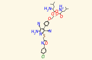 CC(C)C[C@H](N)C(=O)OC[C@H](COc1ccc(-c2c(C#N)c(N)nc(SCc3coc(-c4ccc(Cl)cc4)n3)c2C#N)cc1)OC(=O)[C@@H](N)CC(C)C